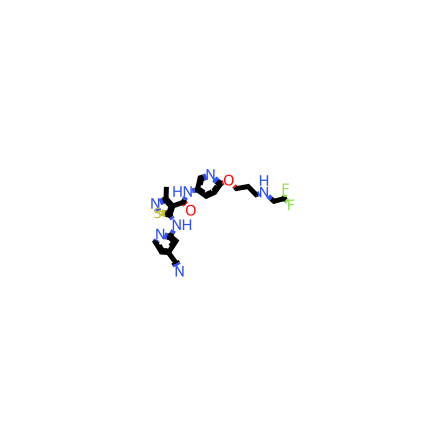 Cc1nsc(Nc2cc(C#N)ccn2)c1C(=O)Nc1ccc(OCCCNCC(F)F)nc1